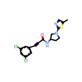 Cc1cnc(N2CCC(NC(=O)C#Cc3cc(Cl)cc(Cl)c3)C2)s1